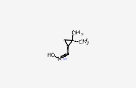 CC1(C)[CH]C1/C=N\O